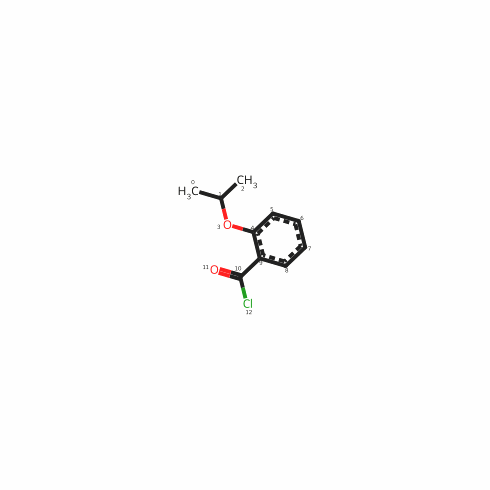 CC(C)Oc1ccccc1C(=O)Cl